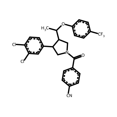 CC(Oc1ccc(C(F)(F)F)cc1)C1CN(C(=O)c2ccc(C#N)cc2)CC1c1ccc(Cl)c(Cl)c1